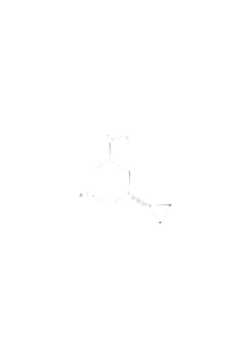 CCCCOC(CC(C)NC)=C1CC1